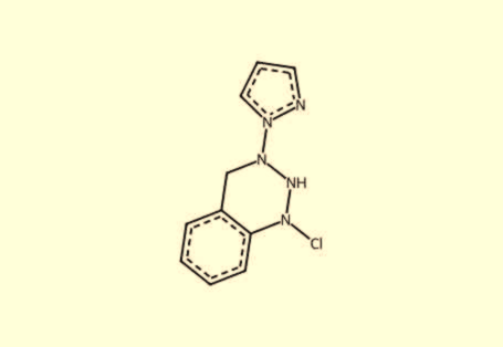 ClN1NN(n2cccn2)Cc2ccccc21